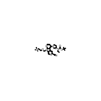 CCN(C(=O)OC(C)(C)C)[C@H]1CCN(c2ccnc3c2c2cc(C#N)ncc2n3COCC[Si](C)(C)C)C1